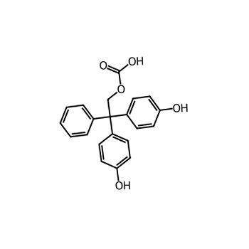 O=C(O)OCC(c1ccccc1)(c1ccc(O)cc1)c1ccc(O)cc1